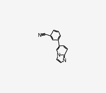 N#Cc1cccc(-c2ccc3nccn3c2)c1